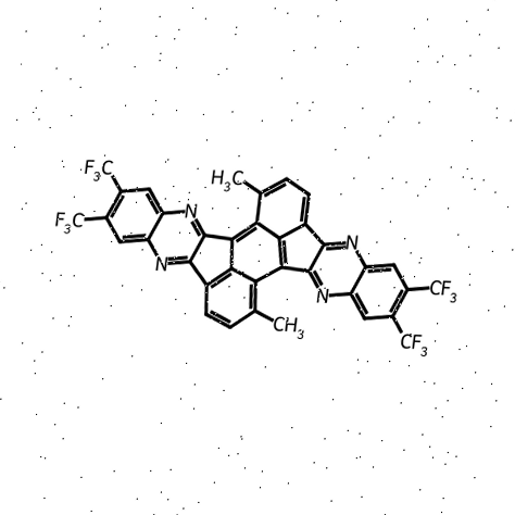 Cc1ccc2c3nc4cc(C(F)(F)F)c(C(F)(F)F)cc4nc3c3c4c(C)ccc5c6nc7cc(C(F)(F)F)c(C(F)(F)F)cc7nc6c(c1c23)c54